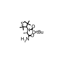 C[C@H](C(N)=O)N(C(=O)OC(C)(C)C)C1C(C)(C)CSC1(C)C